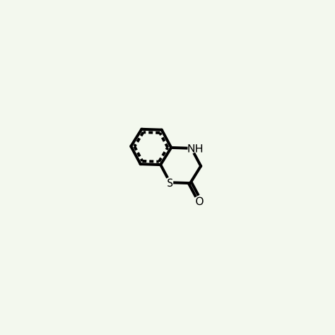 O=C1CNc2ccccc2S1